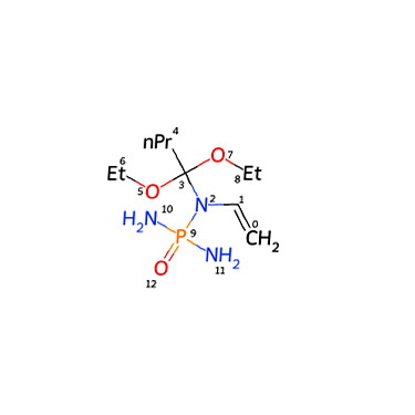 C=CN(C(CCC)(OCC)OCC)P(N)(N)=O